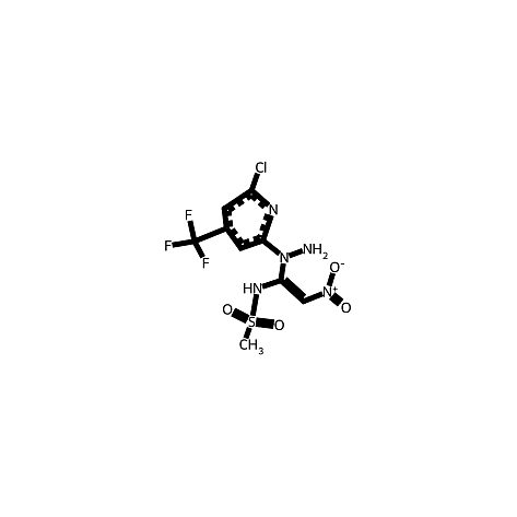 CS(=O)(=O)NC(=C[N+](=O)[O-])N(N)c1cc(C(F)(F)F)cc(Cl)n1